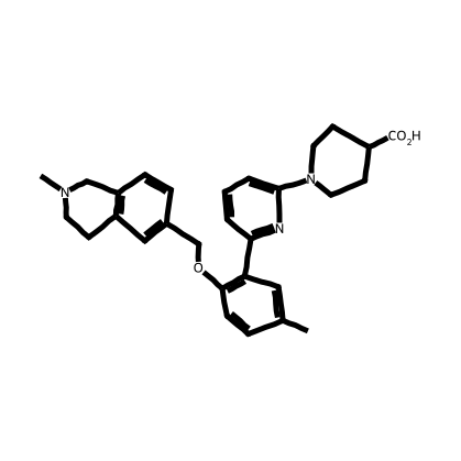 Cc1ccc(OCc2ccc3c(c2)CCN(C)C3)c(-c2cccc(N3CCC(C(=O)O)CC3)n2)c1